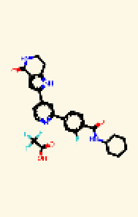 O=C(NC1CCCCC1)c1ccc(-c2cc(-c3cc4c([nH]3)CCNC4=O)ccn2)cc1F.O=C(O)C(F)(F)F